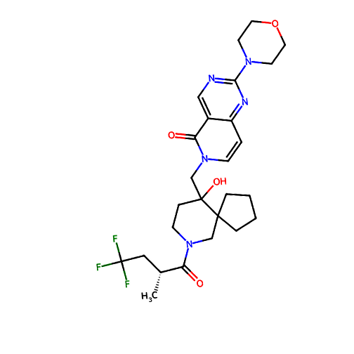 C[C@H](CC(F)(F)F)C(=O)N1CCC(O)(Cn2ccc3nc(N4CCOCC4)ncc3c2=O)C2(CCCC2)C1